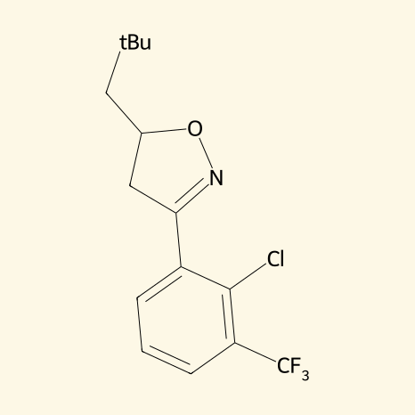 CC(C)(C)CC1CC(c2cccc(C(F)(F)F)c2Cl)=NO1